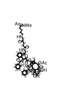 CN[C@H](CCCCNCC(=O)CCC(=O)NCC(=O)O[C@@H](C(=O)O[C@H]1C[C@@]2(O)[C@@H](OC(=O)c3ccccc3)[C@@H]3[C@]4(OC(C)=O)CO[C@@H]4C[C@H](O)[C@@]3(C)C(=O)[C@H](OC(C)=O)C(=C1C)C2(C)C)[C@@H](NC(=O)c1ccccc1)c1ccccc1)C(C)=O